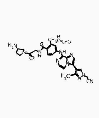 Cc1cc(Nc2nccn3c(-c4cn(CC#N)nc4C(F)(F)F)cnc23)ccc1C(=O)NCC(=O)N1CC[C@H](N)C1.O=CO